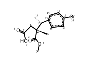 COC(=O)[C@](C)(CC(=O)O)[C@H](C)c1ccc(Br)cc1